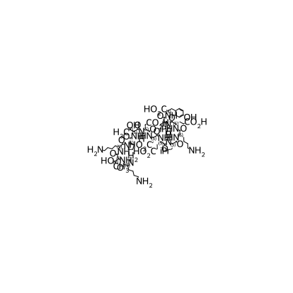 CC(C)C[C@H](NC(=O)[C@H](CCC(=O)O)NC(=O)[C@H](CCCCN)NC(=O)[C@H](CC(C)C)NC(=O)[C@H](CCC(=O)O)NC(=O)[C@H](CC(=O)O)NC(=O)[C@H](CC(=O)O)NC(=O)[C@@H](NC(=O)[C@@H]1CCCN1C(=O)[C@H](CCCCN)NC(=O)[C@@H](NC(=O)[C@@H](N)CCCCN)[C@@H](C)O)[C@@H](C)O)C(=O)N[C@@H](Cc1ccc(O)cc1)C(=O)O